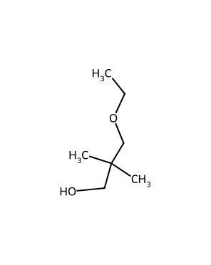 CCOCC(C)(C)CO